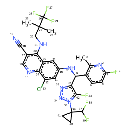 Cc1nc(F)ccc1[C@H](Nc1cc(Cl)c2ncc(C#N)c(NCC(C)(C)C(F)(F)F)c2c1)c1nnn(C2(C(F)F)CC2)c1F